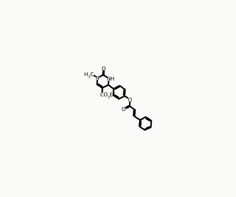 CCOC(=O)C1=CN(C)C(=O)NC1c1ccc(OC(=O)C=Cc2ccccc2)cc1